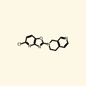 Clc1ccc2oc(N3CCc4ccncc4C3)nc2n1